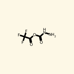 NNC(=O)OC(=O)C(F)(F)F